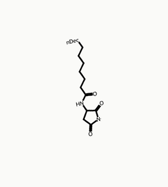 CCCCCCCCCCCCCCCCC(=O)NC1CC(=O)[N]C1=O